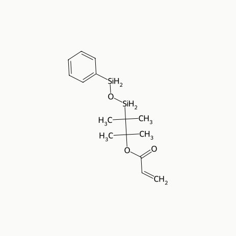 C=CC(=O)OC(C)(C)C(C)(C)[SiH2]O[SiH2]c1ccccc1